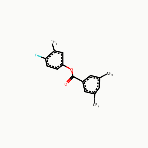 Cc1cc(OC(=O)c2cc(C(F)(F)F)cc(C(F)(F)F)c2)ccc1F